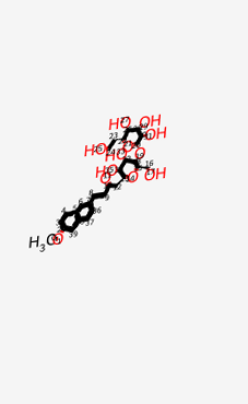 COc1ccc2cc(/C=C/C(=O)C[C@@H]3O[C@H](CO)[C@@H](O[C@@H]4O[C@H](CCO)[C@@H](O)[C@H](O)[C@H]4O)[C@H](O)[C@H]3O)ccc2c1